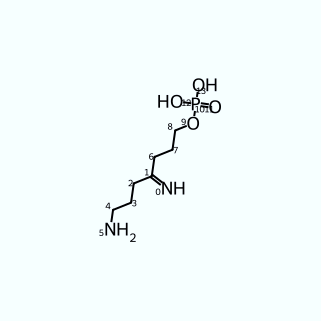 N=C(CCCN)CCCOP(=O)(O)O